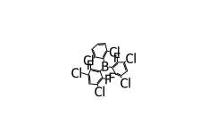 Fc1c(Cl)cc(Cl)c(F)c1B(c1c(Cl)cccc1Cl)c1c(F)c(Cl)cc(Cl)c1F